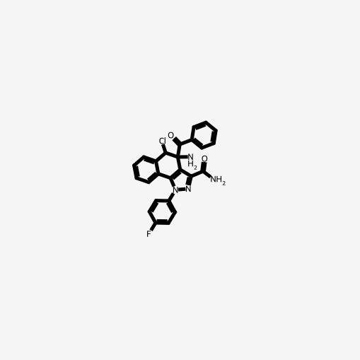 NC(=O)c1nn(-c2ccc(F)cc2)c2c1C(N)(C(=O)c1ccccc1)C(Cl)c1ccccc1-2